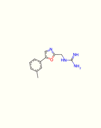 Cc1cccc(-c2cnc(CNC(=N)N)o2)c1